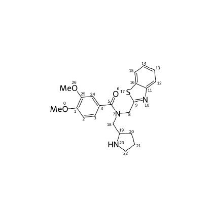 COc1ccc(C(=O)N(Cc2nc3ccccc3s2)CC2CCCN2)cc1OC